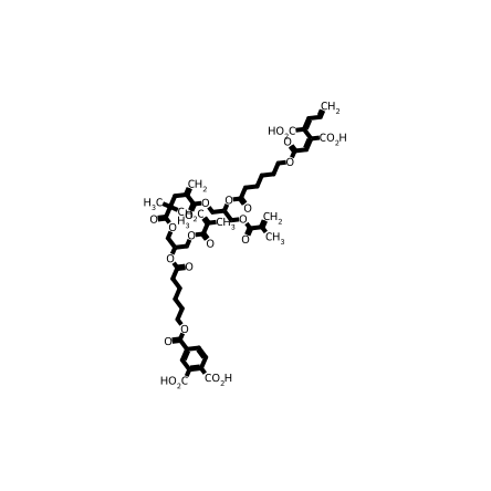 C=C/C=C(C(=O)O)\C(=C/C(=O)OCCCCCC(=O)OC(COC(=O)C(=C)C)COC(=O)C(=C)CC(C)(C)C(=O)OCC(COC(=O)C(=C)C)OC(=O)CCCCCOC(=O)c1ccc(C(=O)O)c(C(=O)O)c1)C(=O)O